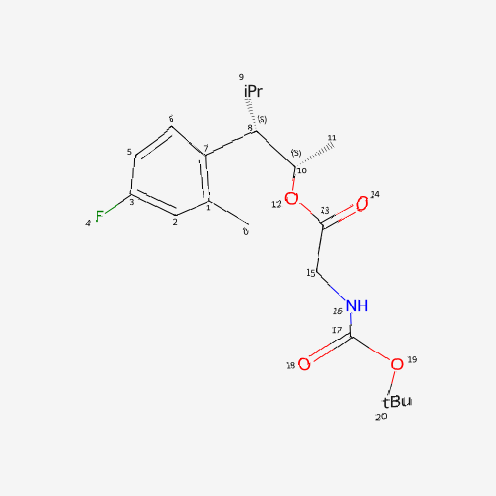 Cc1cc(F)ccc1[C@H](C(C)C)[C@H](C)OC(=O)CNC(=O)OC(C)(C)C